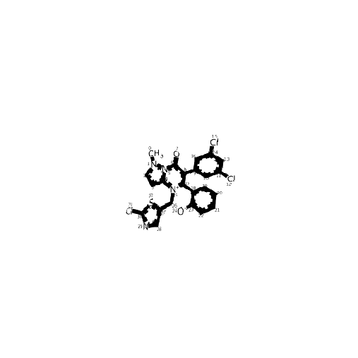 Cn1ccc2n1c(=O)c(-c1cc(Cl)cc(Cl)c1)c(-c1ccccc1[O-])[n+]2Cc1cnc(Cl)s1